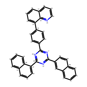 c1ccc2cc(-c3nc(-c4ccc(-c5cccc6cccnc56)cc4)nc(-c4cccc5ccccc45)n3)ccc2c1